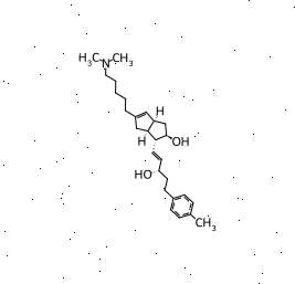 Cc1ccc(CC[C@H](O)/C=C/[C@@H]2[C@H]3CC(CCCCCN(C)C)=C[C@H]3C[C@H]2O)cc1